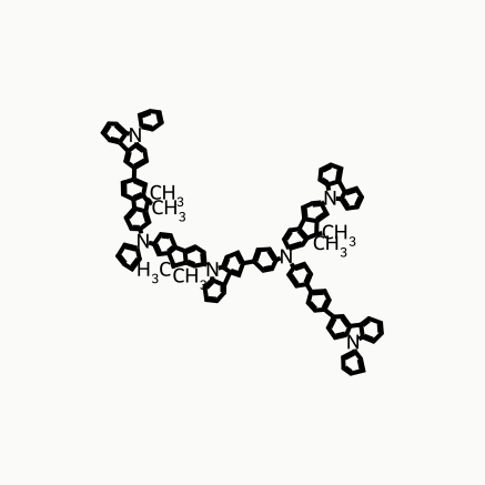 CC1(C)c2cc(-c3ccc4c(c3)c3ccccc3n4-c3ccccc3)ccc2-c2ccc(N(c3ccccc3)c3ccc4c(c3)C(C)(C)c3cc(-n5c6ccccc6c6cc(-c7ccc(N(c8ccc(-c9ccc(-c%10ccc%11c(c%10)c%10ccccc%10n%11-c%10ccccc%10)cc9)cc8)c8ccc9c(c8)C(C)(C)c8cc(-n%10c%11ccccc%11c%11ccccc%11%10)ccc8-9)cc7)ccc65)ccc3-4)cc21